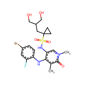 Cc1c(Nc2ccc(Br)cc2F)c(NS(=O)(=O)C2(CC(CO)CO)CC2)cn(C)c1=O